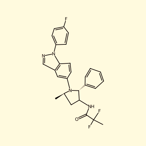 C[C@@H]1CC(NC(=O)C(C)(F)F)[C@@H](c2ccccc2)N1c1ccc2c(cnn2-c2ccc(F)cc2)c1